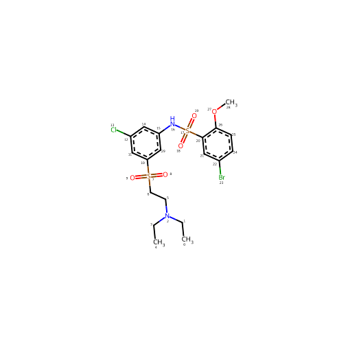 CCN(CC)CCS(=O)(=O)c1cc(Cl)cc(NS(=O)(=O)c2cc(Br)ccc2OC)c1